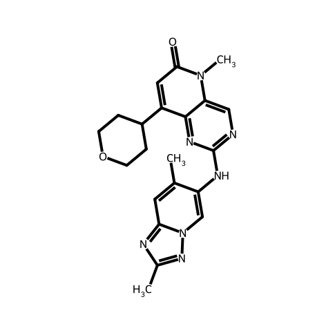 Cc1nc2cc(C)c(Nc3ncc4c(n3)c(C3CCOCC3)cc(=O)n4C)cn2n1